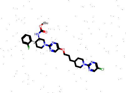 CC(C)(C)OC(=O)N[C@H]1CN(c2ncc(OCCCC3CCN(c4ncc(Cl)cn4)CC3)cn2)CC[C@@H]1c1ccccc1F